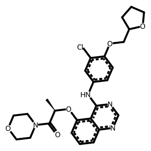 C[C@@H](Oc1cccc2ncnc(Nc3ccc(OCC4CCCO4)c(Cl)c3)c12)C(=O)N1CCOCC1